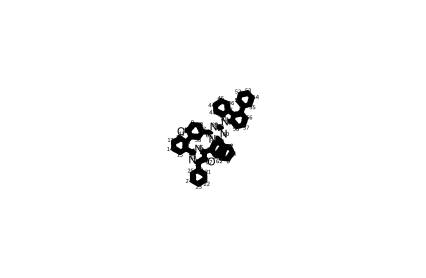 c1ccc(-c2nc(-c3ccc4oc5cccc(-c6nc(-c7ccccc7)c7oc8ccccc8c7n6)c5c4c3)nc(-n3c4ccccc4c4c(-c5ccccc5)cccc43)n2)cc1